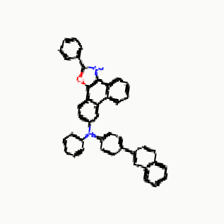 c1ccc(C2Nc3c(c4ccc(N(c5ccccc5)c5ccc(-c6ccc7ccccc7c6)cc5)cc4c4ccccc34)O2)cc1